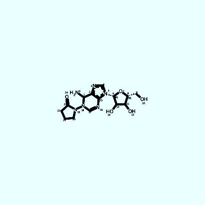 NC1c2ncn([C@@H]3O[C@H](CO)C(O)C3O)c2N=CN1N1CCCC1=O